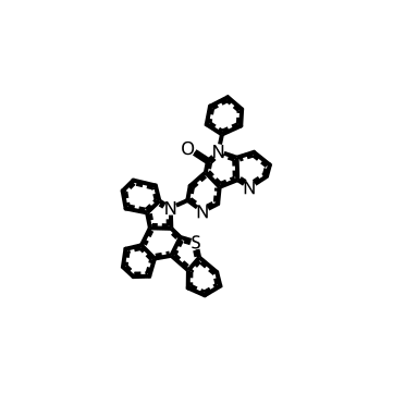 O=c1c2cc(-n3c4ccccc4c4c5ccccc5c5c6ccccc6sc5c43)ncc2c2ncccc2n1-c1ccccc1